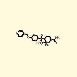 NC(=O)N1CCC(S(=O)(=O)N2CCC(OCc3ccncc3)CC2)C(O)(C(=O)O)C1